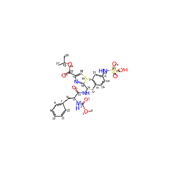 COC(=O)N[C@@H](Cc1ccccc1)C(=O)N[C@@H](Cc1ccc(NS(=O)(=O)O)cc1)c1nc(C(=O)OC(C)C)cs1